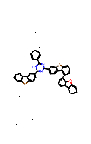 C1=CC2c3ccccc3OC2C(c2cccc3sc4cc(C5N=C(c6ccccc6)NC(c6ccc7sc8ccccc8c7c6)N5)ccc4c23)=C1